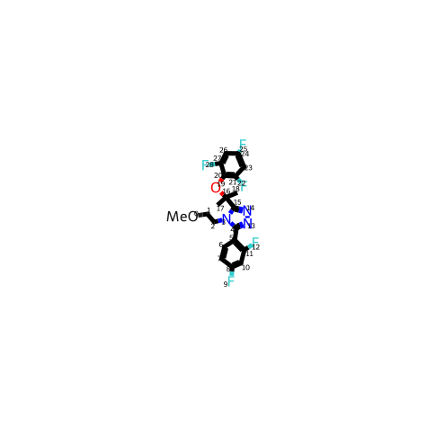 COCCn1c(-c2ccc(F)cc2F)nnc1C(C)(C)Oc1c(F)cc(F)cc1F